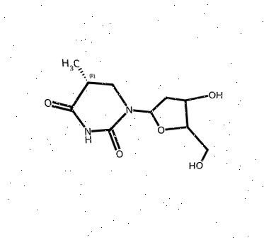 C[C@@H]1CN(C2CC(O)C(CO)O2)C(=O)NC1=O